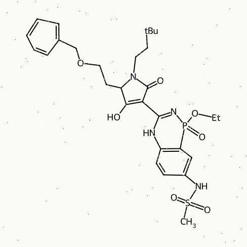 CCOP1(=O)N=C(C2=C(O)C(CCOCc3ccccc3)N(CCC(C)(C)C)C2=O)Nc2ccc(NS(C)(=O)=O)cc21